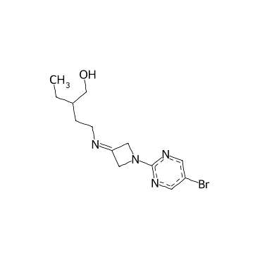 CCC(CO)CCN=C1CN(c2ncc(Br)cn2)C1